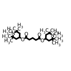 CN1C(C)(C)CC(OC(=O)CCCC(=O)OC2CC(C)(C)N(C)C(C)(C)C2)CC1(C)C